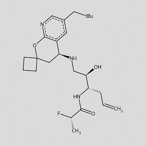 C=CC[C@H](NC(=O)[C@H](C)F)[C@H](O)CN[C@H]1CC2(CCC2)Oc2ncc(CC(C)(C)C)cc21